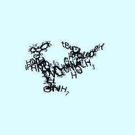 CC(C)C(NC(=O)OCC1c2ccccc2-c2ccccc21)C(=O)NC(CCCCC(N)=O)C(=O)Nc1ccc(COC(=O)NNC(=O)[C@@H](C)C[C@H](Cc2ccc(O)cc2)NC(=O)OC(C)(C)C)cc1